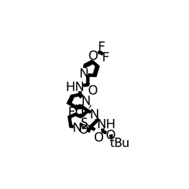 CC(C)(C)OC(=O)NC1=N[C@](C)(c2nc(NC(=O)c3ccc(OC(F)F)cn3)ccc2F)[C@H]2CCCN=[S@]2(=O)C1(C)C